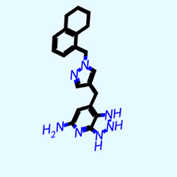 Nc1cc(Cc2cnn(Cc3cccc4c3CCCC4)c2)c2c(n1)NNN2